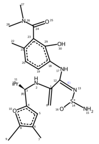 C=C(N[C@@H](c1cc(C)c(C)o1)C(C)C)/C(=N\[S+](N)[O-])Nc1ccc(C)c(C(=O)N(C)C)c1O